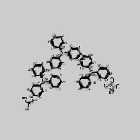 FC(F)F.[O]=[Sb]([O-])([O-])[O-].c1ccc([S+](c2ccccc2)c2ccccc2)cc1.c1ccc([S+](c2ccccc2)c2ccccc2)cc1.c1ccc([S+](c2ccccc2)c2ccccc2)cc1